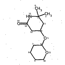 CC1(C)CC(OC2CCCCO2)CC(=O)N1